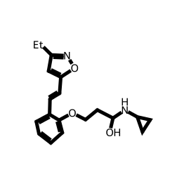 CCc1cc(C=Cc2ccccc2OCCC(O)NC2CC2)on1